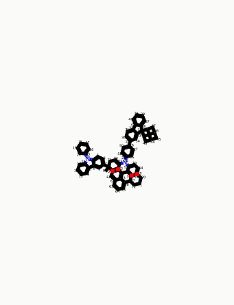 CC1(c2ccc3c(c2)c2ccccc2n3-c2ccccc2)C=CC(N(c2ccc(-c3ccc4c(c3)C3(c5ccccc5-4)C4CC5CC6CC3C564)cc2)c2ccccc2-c2cccc3cccc(C4CCCCC4)c23)=CC1